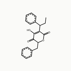 CCC(C1=C(O)C(=O)C(Cc2ccccc2)OC1=O)c1ccccc1